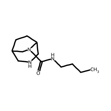 CCCCNC(=O)N1CC2CCC1CNC2